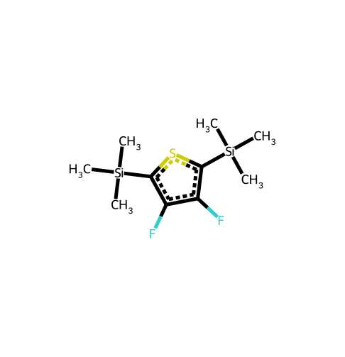 C[Si](C)(C)c1sc([Si](C)(C)C)c(F)c1F